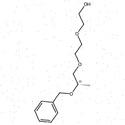 C[C@@H](COCCOCCO)OCc1ccccc1